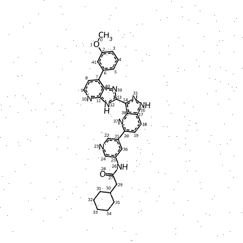 COc1cccc(-c2ccnc3[nH]c(-c4n[nH]c5ccc(-c6cncc(NC(=O)CC7CCCCC7)c6)nc45)nc23)c1